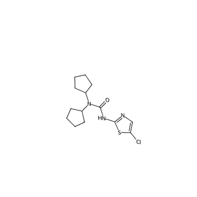 O=C(Nc1ncc(Cl)s1)N(C1CCCC1)C1CCCC1